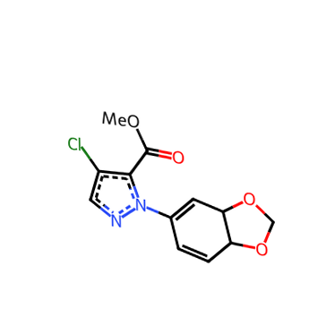 COC(=O)c1c(Cl)cnn1C1=CC2OCOC2C=C1